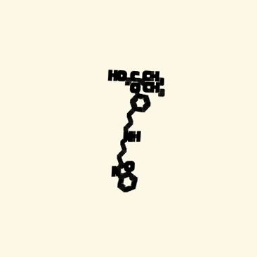 CC(C)(Oc1cccc(CCCNCCCc2nc3ccccc3o2)c1)C(=O)O